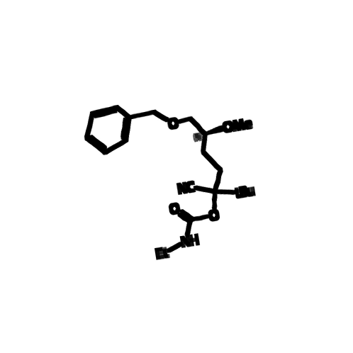 CCNC(=O)OC(C#N)(CC[C@@H](COCc1ccccc1)OC)C(C)(C)C